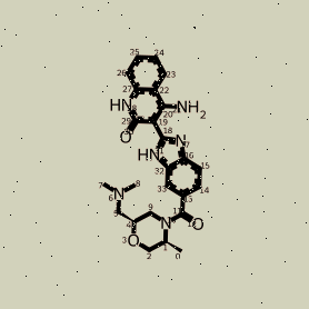 C[C@H]1CO[C@@H](CN(C)C)CN1C(=O)c1ccc2nc(-c3c(N)c4ccccc4[nH]c3=O)[nH]c2c1